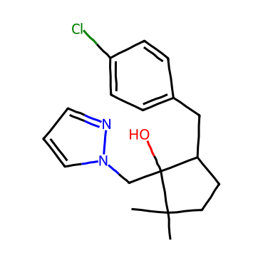 CC1(C)CCC(Cc2ccc(Cl)cc2)C1(O)Cn1cccn1